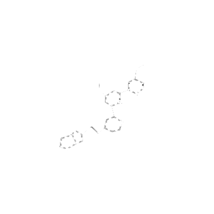 O=COc1ccnc(-c2cc(OC=O)cc(-c3cc(/C=C/c4cc5sccc5s4)ccn3)n2)c1